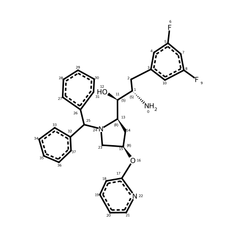 N[C@@H](Cc1cc(F)cc(F)c1)[C@H](O)[C@H]1C[C@@H](Oc2ccccn2)CN1C(c1ccccc1)c1ccccc1